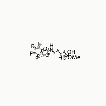 CO[Si](O)(O)CCCCNC(=O)Oc1c(F)c(F)c(F)c(F)c1F